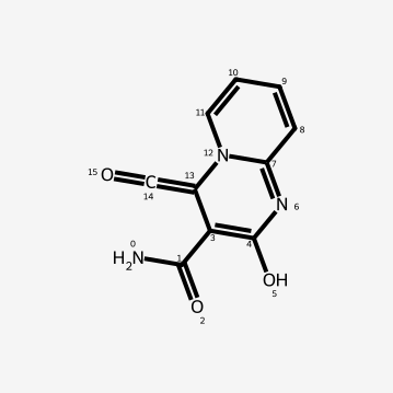 NC(=O)C1=C(O)N=C2C=CC=CN2C1=C=O